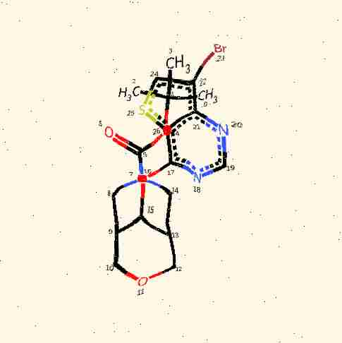 CC(C)(C)OC(=O)N1CC2COCC(C1)C2Oc1ncnc2c(Br)csc12